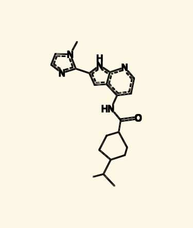 CC(C)C1CCC(C(=O)Nc2ccnc3[nH]c(-c4nccn4C)cc23)CC1